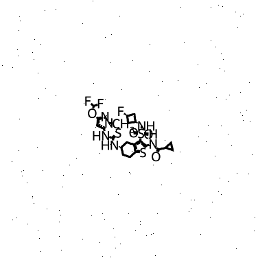 Cn1nc(OC(F)F)cc1NC(=S)N[C@H]1CCc2sc(NC(=O)C3CC3)c(S(=O)(=O)N[C@H]3C[C@H](F)C3)c2C1